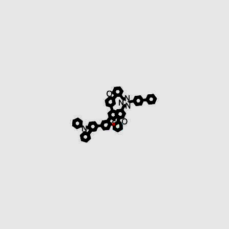 c1ccc(-c2ccc(-c3nc(-c4ccc5c(c4)oc4ccccc45)nc(-c4cccc5oc6ccc(-c7ccc8sc9ccc(-c%10ccc%11c(c%10)c%10ccccc%10n%11-c%10ccccc%10)cc9c8c7)cc6c45)n3)cc2)cc1